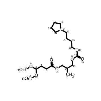 [CH2]C(COC(=O)CCC(OCCCCCCCC)OCCCCCCCC)COC(=O)OCCCCN1CCCC1